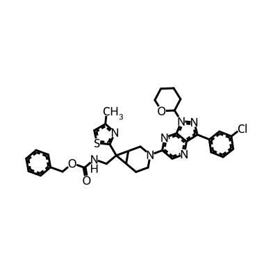 Cc1csc(C2(CNC(=O)OCc3ccccc3)C3CCN(c4cnc5c(-c6cccc(Cl)c6)nn(C6CCCCO6)c5n4)CC32)n1